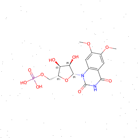 COc1cc2c(=O)[nH]c(=O)n([C@@H]3O[C@H](COP(=O)(O)O)[C@@H](O)[C@H]3O)c2cc1OC